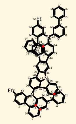 CCc1ccc(-c2ccccc2)c(N(c2cccc(-c3ccccc3)c2)c2ccc3c4cc5c(cc4n4c6ccccc6c2c34)c2ccc(N(c3cccc(-c4ccccc4)c3)c3cc(CC)ccc3-c3ccccc3)c3c4ccccc4n5c23)c1